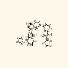 O=C(Nc1cccc(-c2ccc3[nH]nc(-c4cc5c(-c6ccsc6)cncc5[nH]4)c3n2)c1)C1CCCC1